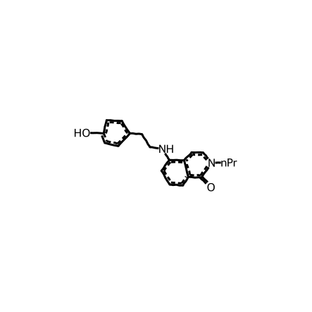 CCCn1ccc2c(NCCc3ccc(O)cc3)cccc2c1=O